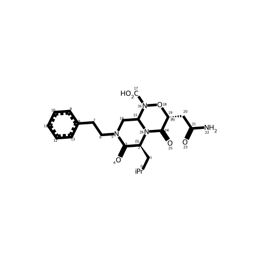 CC(C)C[C@H]1C(=O)N(CCc2ccccc2)CC2N(C(=O)O)O[C@H](CC(N)=O)C(=O)N21